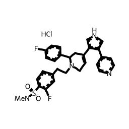 CNS(=O)(=O)c1ccc(CCN2CC=C(c3c[nH]cc3-c3ccncc3)CC2c2ccc(F)cc2)cc1F.Cl